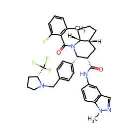 Cc1cccc(F)c1C(=O)N1[C@@H]2CCC[C@@H]2C[C@H](C(=O)Nc2ccc3c(cnn3C)c2)[C@@H]1c1ccc(CN2CCC[C@@H]2C(F)(F)F)cc1